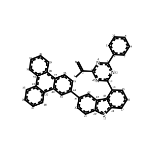 C=C(C)c1nc(-c2ccccc2)nc(-c2cccc3sc4ccc(-c5ccc6c7ccccc7c7ccccc7c6c5)cc4c23)n1